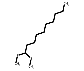 CCCCCCCCCC(SC)SC